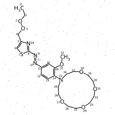 CCOOCc1csc(/N=N/c2ccc(N3CCOCCOCCOCCOCC3)c(OC)c2)n1